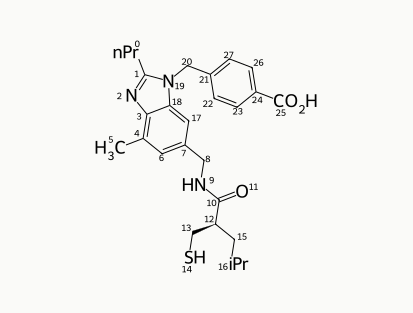 CCCc1nc2c(C)cc(CNC(=O)[C@H](CS)CC(C)C)cc2n1Cc1ccc(C(=O)O)cc1